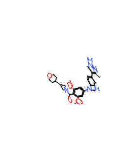 COc1cc(-n2cnc3cc(-c4c[nH]nc4C)ccc32)cc(OC)c1C(=O)N1CC(C2CCOCC2)C1